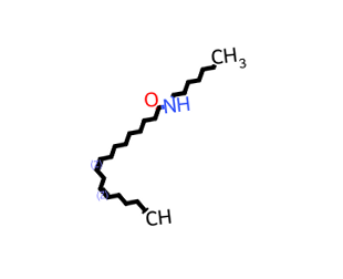 C#CCCC/C=C\C/C=C\CCCCCCCC(=O)NCCCCCCC